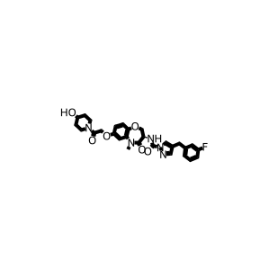 CN1C(=O)[C@@H](NC(=O)n2cc(Cc3cccc(F)c3)cn2)COc2ccc(OCC(=O)N3CCC(O)CC3)cc21